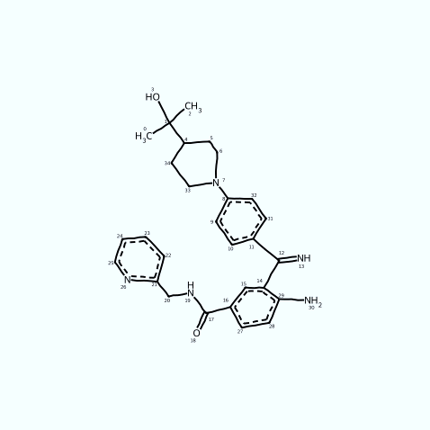 CC(C)(O)C1CCN(c2ccc(C(=N)c3cc(C(=O)NCc4ccccn4)ccc3N)cc2)CC1